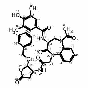 CC(=O)N1C[C@H](NC(=O)c2cc(C)c(O)c(C)c2)C(=O)N(CC(=O)N[C@H]2CC(=O)O[C@H]2OCc2ccccc2)c2ccccc21